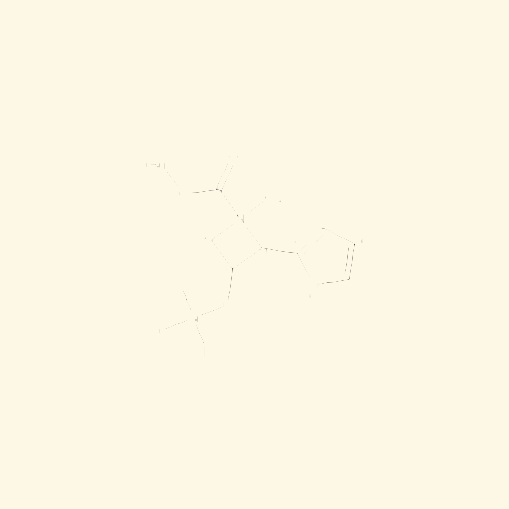 CC[Si](CC)(CC)OC1C[N+]([O-])(C(=O)OC(C)(C)C)C1c1ccco1